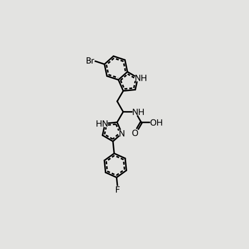 O=C(O)NC(Cc1c[nH]c2ccc(Br)cc12)c1nc(-c2ccc(F)cc2)c[nH]1